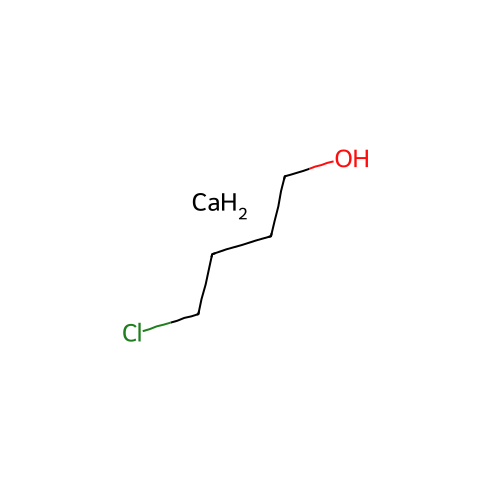 OCCCCCl.[CaH2]